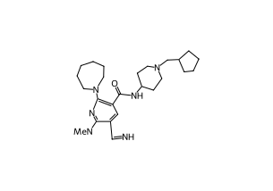 CNc1nc(N2CCCCCC2)c(C(=O)NC2CCN(CC3CCCC3)CC2)cc1C=N